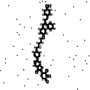 O=C1CCC(N2Cc3cc(N4CCN(CCCCCOc5ccc(/C=C(/CCc6ccc(O)cc6)c6ccccc6)cc5)CC4)ncc3C2=O)C(=O)N1